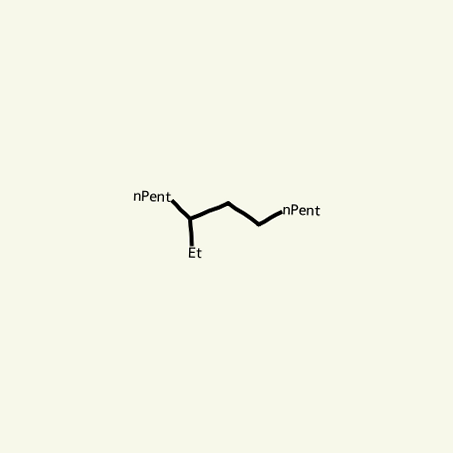 [CH2]CCCCC(CC)CCCCCCC